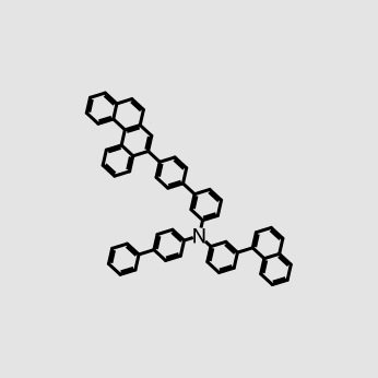 c1ccc(-c2ccc(N(c3cccc(-c4ccc(-c5cc6ccc7ccccc7c6c6ccccc56)cc4)c3)c3cccc(-c4cccc5ccccc45)c3)cc2)cc1